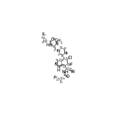 C=N/C(=C\N1C=C(c2c(Cl)c(F)c(C(C#N)NC(=O)[C@@H]3C[C@@H]3F)c3[nH]ncc23)N=CC1)NC(=O)[C@@H]1C[C@@H]1F